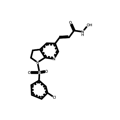 O=C(/C=C/c1cnc2c(c1)CCN2S(=O)(=O)c1cccc(Cl)c1)NO